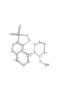 O=S1(=O)CCc2c1ccc1ncnc(N3CCCCC3CO)c21